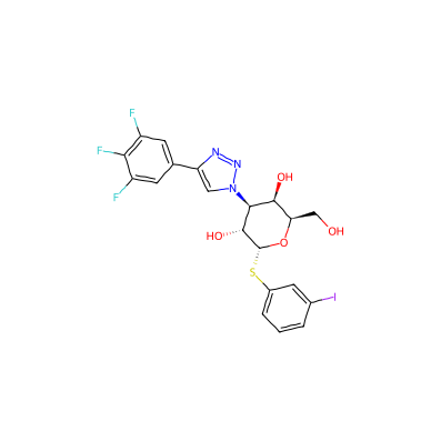 OC[C@H]1O[C@H](Sc2cccc(I)c2)[C@H](O)[C@@H](n2cc(-c3cc(F)c(F)c(F)c3)nn2)[C@H]1O